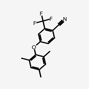 Cc1cc(C)c(Oc2ccc(C#N)c(C(F)(F)F)c2)c(C)c1